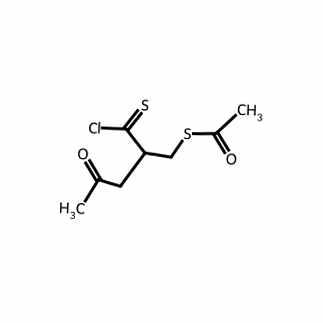 CC(=O)CC(CSC(C)=O)C(=S)Cl